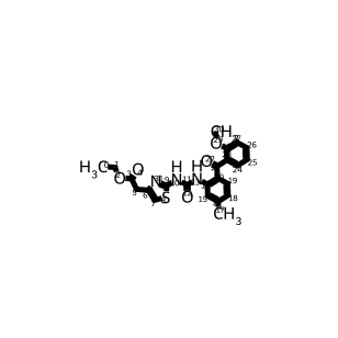 CCOC(=O)Cc1csc(NC(=O)Nc2cc(C)ccc2C(=O)c2ccccc2OC)n1